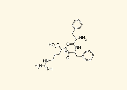 N=C(N)NCCC[C@H](NC(=O)[C@H](Cc1ccccc1)NC(=O)[C@@H](N)Cc1ccccc1)C(=O)O